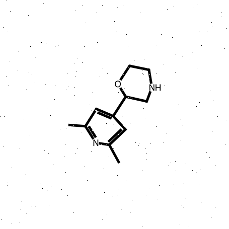 Cc1cc(C2CNCCO2)cc(C)n1